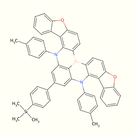 Cc1ccc(N2c3cc(-c4ccc([Si](C)(C)C)cc4)cc4c3B(c3ccc5oc6ccccc6c5c32)c2ccc3oc5ccccc5c3c2N4c2ccc(C)cc2)cc1